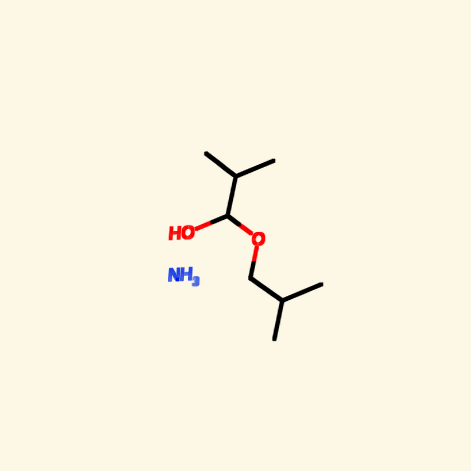 CC(C)COC(O)C(C)C.N